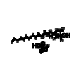 CCCCCCCCCCCCCCCCC(C)C(C)(N)O.COS(=O)(=O)O